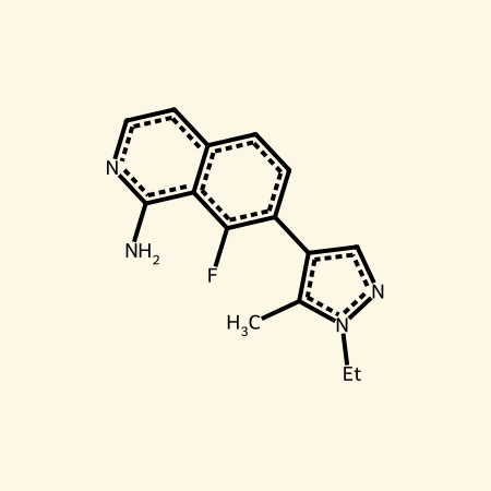 CCn1ncc(-c2ccc3ccnc(N)c3c2F)c1C